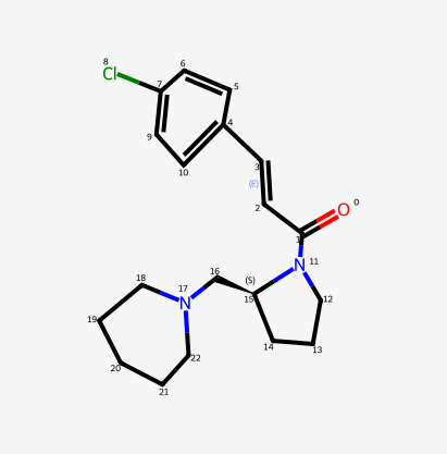 O=C(/C=C/c1ccc(Cl)cc1)N1CCC[C@H]1CN1CCCCC1